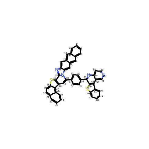 c1ccc2cc3cc4c(cc3cc2c1)nc1c2sc3ccc5ccccc5c3c2cc(-c2ccc(-c3nc5ccncc5c5c3sc3ccccc35)cc2)n41